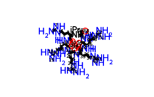 CC(=O)N[C@@H](CCCNC(=N)N)C(=O)N[C@@H](CCCNC(=N)N)C(=O)N[C@@H](CCCNC(=N)N)C(=O)N[C@@H](CCCNC(=N)N)C(=O)N[C@@H](CCCNC(=N)N)C(=O)NCC(=O)C(C)C